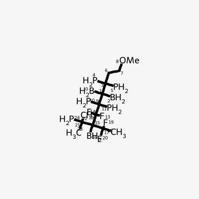 BC(B)(C(P)(P)CCOC)C(P)(P)C(F)(F)C(B)(C(C)(F)F)C(C)(C)P